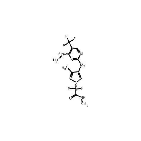 CNC(=O)C(F)(F)n1cc(Nc2ncc(C(F)(F)F)c(NC)n2)c(C)n1